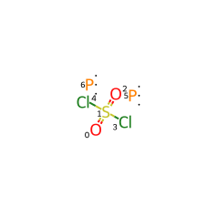 O=S(=O)(Cl)Cl.[P].[P]